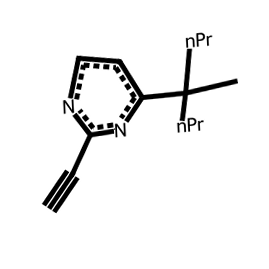 C#Cc1nccc(C(C)(CCC)CCC)n1